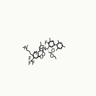 CCOC(=O)C[C@H](NC(=O)C(CC(C)C)n1cc(CCCN(C)C)c(C(F)(F)F)cc1=O)c1cc(-c2c(C)cc(C)cc2C)cc(C)c1F